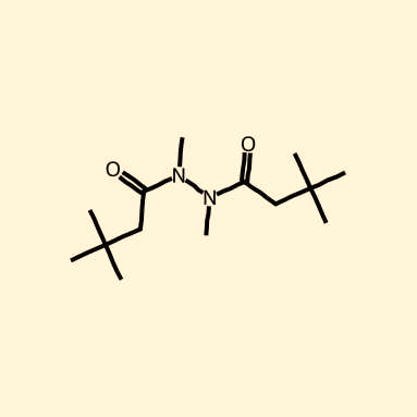 CN(C(=O)CC(C)(C)C)N(C)C(=O)CC(C)(C)C